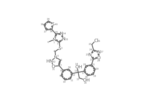 Cn1c(SCN2C=C(c3cccc(C(O)(CO)c4cccc(-c5nc(CCl)no5)c4)c3)ON2)nnc1-c1cccs1